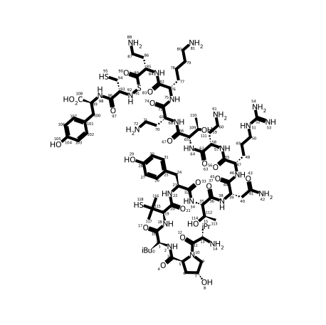 CC[C@H](C)[C@H](NC(=O)[C@@H]1C[C@@H](O)CN1C(=O)[C@@H](N)C(C)C)C(=O)N[C@H](C(=O)N[C@@H](Cc1ccc(O)cc1)C(=O)N[C@H](C(=O)N[C@@H](CC(N)=O)C(=O)N[C@@H](CCCNC(=N)N)C(=O)N[C@@H](CCN)C(=O)N[C@H](C(=O)N[C@H](CCN)C(=O)N[C@@H](CCCCN)C(=O)N[C@@H](CCN)C(=O)SN[C@@H](CS)C(=O)N[C@@H](Cc1ccc(O)cc1)C(=O)O)[C@@H](C)O)[C@@H](C)O)C(C)(C)S